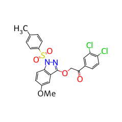 COc1ccc2c(c1)c(OCC(=O)c1ccc(Cl)c(Cl)c1)nn2S(=O)(=O)c1ccc(C)cc1